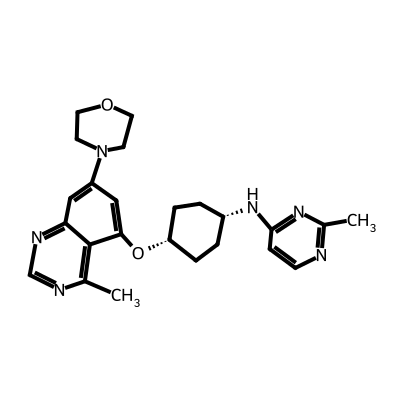 Cc1nccc(N[C@H]2CC[C@@H](Oc3cc(N4CCOCC4)cc4ncnc(C)c34)CC2)n1